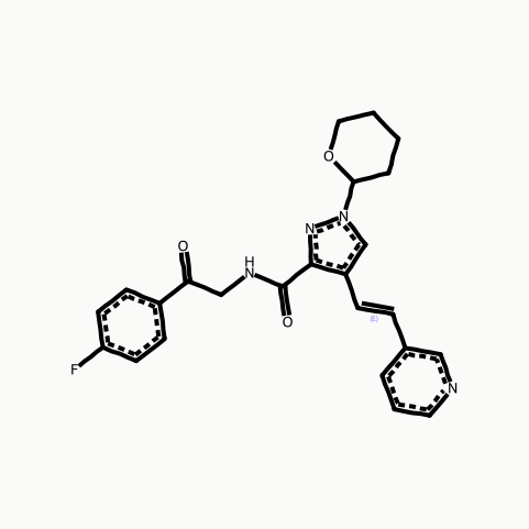 O=C(CNC(=O)c1nn(C2CCCCO2)cc1/C=C/c1cccnc1)c1ccc(F)cc1